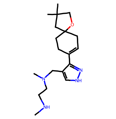 CNCCN(C)Cc1c[nH]nc1C1=CCC2(CC1)CC(C)(C)CO2